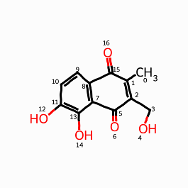 CC1=C(CO)C(=O)c2c(ccc(O)c2O)C1=O